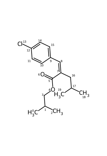 CC(C)COC(=O)C(=Cc1ccc(Cl)cc1)CC(C)C